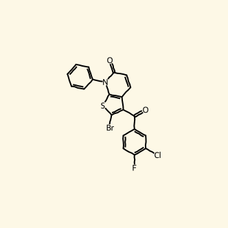 O=C(c1ccc(F)c(Cl)c1)c1c(Br)sc2c1ccc(=O)n2-c1ccccc1